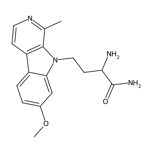 COc1ccc2c3ccnc(C)c3n(CCC(N)C(N)=O)c2c1